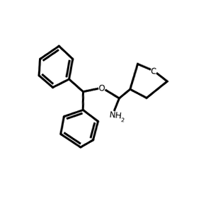 NC(OC(c1ccccc1)c1ccccc1)C1CCCC1